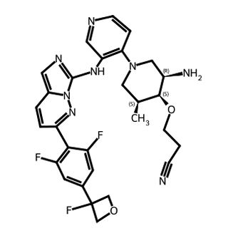 C[C@H]1CN(c2ccncc2Nc2ncc3ccc(-c4c(F)cc(C5(F)COC5)cc4F)nn23)C[C@@H](N)[C@H]1OCCC#N